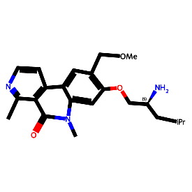 COCc1cc2c3ccnc(C)c3c(=O)n(C)c2cc1OC[C@@H](N)CC(C)C